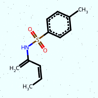 C=C(/C=C\C)NS(=O)(=O)c1ccc(C)cc1